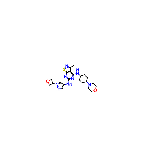 Cc1nsc2nc(Nc3cnn(C4COC4)c3)nc(N[C@H]3CC[C@H](N4CCOCC4)CC3)c12